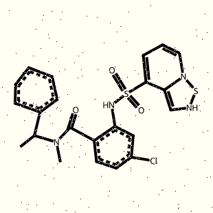 CC(c1ccccc1)N(C)C(=O)c1ccc(Cl)cc1NS(=O)(=O)C1=CC=CN2SNC=C12